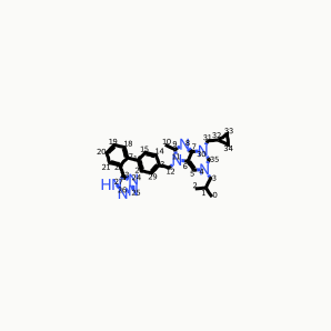 CC(C)CN1C=C2C(=NC(C)N2Cc2ccc(-c3ccccc3-c3nnn[nH]3)cc2)N(CC2CC2)C1